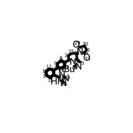 CCCCc1ncc2n1C(c1ccc(-c3ccccc3-c3nnn[nH]3)cc1)CCC2N1C(=O)CCC1=O